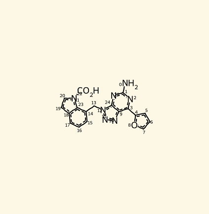 Nc1nc(-c2ccco2)c2nnn(Cc3cccc4ccn(C(=O)O)c34)c2n1